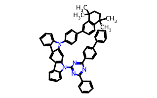 CC1(C)CCC(C)(C)c2cc(-c3ccc(-n4c5ccccc5c5cc6c7ccccc7n(-c7nc(-c8ccccc8)nc(-c8ccc(-c9ccccc9)cc8)n7)c6cc54)cc3)ccc21